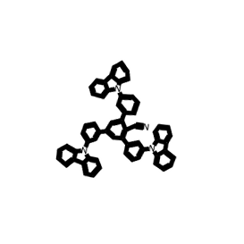 N#Cc1c(-c2cccc(-n3c4ccccc4c4ccccc43)c2)cc(-c2cccc(-n3c4ccccc4c4ccccc43)c2)cc1-c1cccc(-n2c3ccccc3c3ccccc32)c1